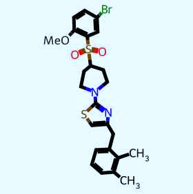 COc1ccc(Br)cc1S(=O)(=O)C1CCN(c2nc(Cc3cccc(C)c3C)cs2)CC1